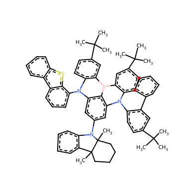 CC(C)(C)c1ccc2c(c1)B1c3cc(C(C)(C)C)ccc3N(c3cccc4c3sc3ccccc34)c3cc(N4c5ccccc5C5(C)CCCCC45C)cc(c31)N2c1ccc(C(C)(C)C)cc1-c1ccccc1